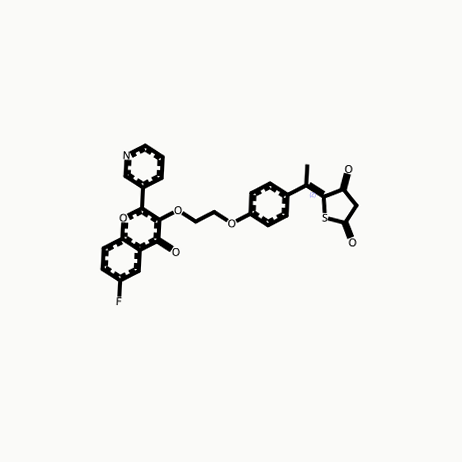 C/C(=C1/SC(=O)CC1=O)c1ccc(OCCOc2c(-c3cccnc3)oc3ccc(F)cc3c2=O)cc1